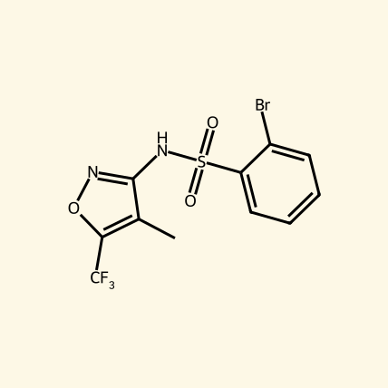 Cc1c(NS(=O)(=O)c2ccccc2Br)noc1C(F)(F)F